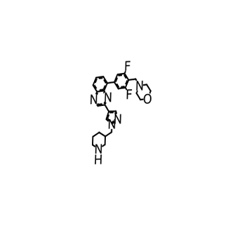 Fc1cc(-c2cccc3ncc(-c4cnn(CC5CCCNC5)c4)nc23)cc(F)c1CN1CCOCC1